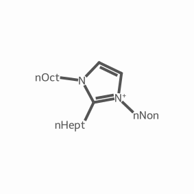 CCCCCCCCC[n+]1ccn(CCCCCCCC)c1CCCCCCC